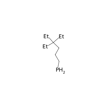 CCC(CC)(CC)CCCP